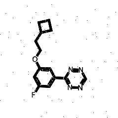 Fc1cc(OCCC2CCC2)cc(-c2nncnn2)c1